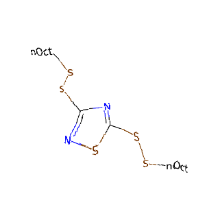 CCCCCCCCSSc1nsc(SSCCCCCCCC)n1